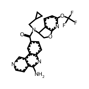 Nc1nc2ccc(C(=O)N(CC3CC3)C3COc4nc(OC(F)(F)F)ccc43)cc2c2cnccc12